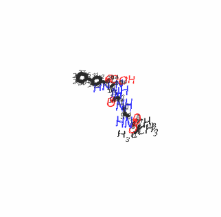 CC(C)(C)OC(=O)NCCCNCC(=O)NC[C@H](NC(=O)c1ccc(-c2ccccc2)cc1)C(=O)NO